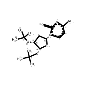 CC(C)(C)C[C@H]1O[C@@H](n2ccc(N)nc2=O)C[C@H]1OC(C)(C)C